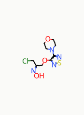 O/N=C(/CCl)COc1nsnc1N1CCOCC1